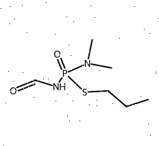 CCCSP(=O)(NC=O)N(C)C